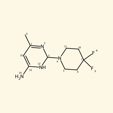 CC1=NC(N2CCC(F)(F)CC2)NC(N)=C1